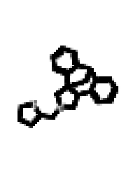 c1ccc2c(c1)C1CC3(CN(CC4CCCO4)CC23)c2ccccc21